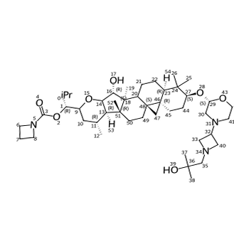 CC(C)[C@@H](OC(=O)N1CCC1)C1C[C@@H](C)[C@H]2C(O1)[C@H](O)[C@@]1(C)C3CC[C@H]4C(C)(C)[C@@H](O[C@H]5CN(C6CN(CC(C)(C)O)C6)CCO5)CC[C@@]45C[C@@]35CC[C@]21C